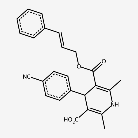 CC1=C(C(=O)O)C(c2ccc(C#N)cc2)C(C(=O)OCC=Cc2ccccc2)=C(C)N1